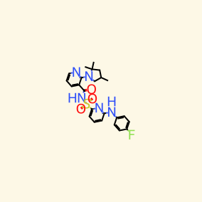 CC1CN(c2ncccc2C(=O)NS(=O)(=O)c2cccc(Nc3ccc(F)cc3)n2)C(C)(C)C1